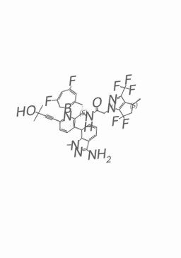 C[C@H]1CC(F)(F)c2c1c(C(F)(F)F)nn2CC(=O)N[C@@H](CC1=BCC(F)=CC(F)=C1)c1nc(C#CC(C)(C)O)ccc1C1C=CC=C2C(N)=NN(C)C21